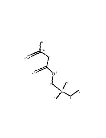 CC[Si](C)(C)COC(=O)CC(C)=O